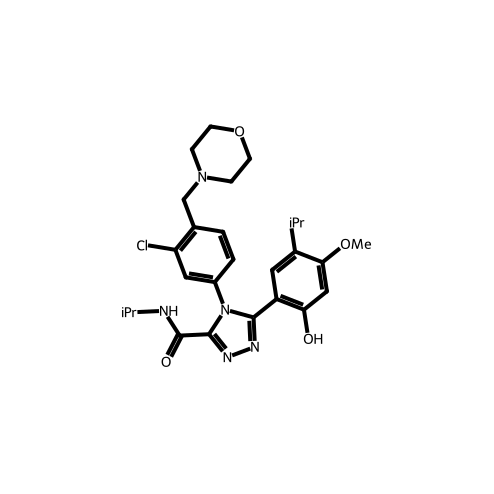 COc1cc(O)c(-c2nnc(C(=O)NC(C)C)n2-c2ccc(CN3CCOCC3)c(Cl)c2)cc1C(C)C